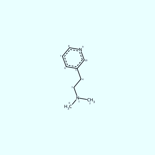 CN(C)C[CH]c1cccnc1